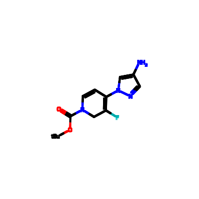 CC(C)(C)OC(=O)N1C=CC(n2cc(N)cn2)=C(F)C1